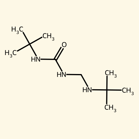 CC(C)(C)NCNC(=O)NC(C)(C)C